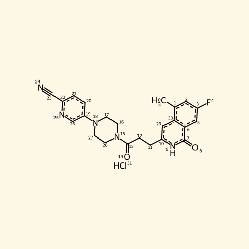 Cc1cc(F)cc2c(=O)[nH]c(CCC(=O)N3CCN(c4ccc(C#N)nc4)CC3)cc12.Cl